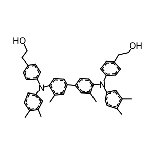 Cc1ccc(N(c2ccc(CCO)cc2)c2ccc(-c3ccc(N(c4ccc(CCO)cc4)c4ccc(C)c(C)c4)c(C)c3)cc2C)cc1C